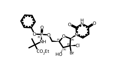 CCOC(=O)C(C)(C)N[P@@](=O)(OC[C@H]1O[C@@H](n2ccc(=O)[nH]c2=O)[C@](Cl)(Br)[C@@H]1O)Oc1ccccc1